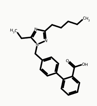 CCCCCc1nc(CC)n(Cc2ccc(-c3ccccc3C(=O)O)cc2)n1